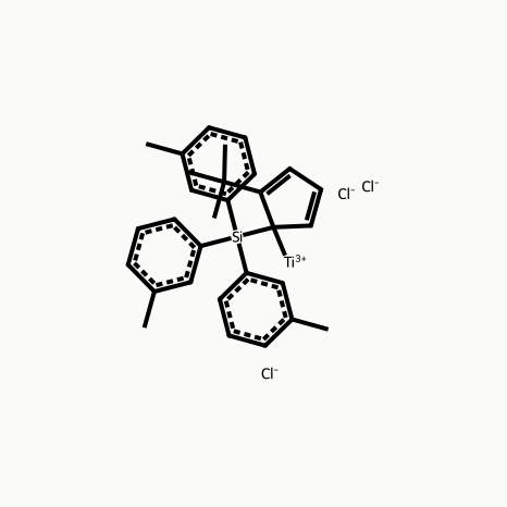 Cc1cccc([Si](c2cccc(C)c2)(c2cccc(C)c2)[C]2([Ti+3])C=CC=C2C(C)(C)C)c1.[Cl-].[Cl-].[Cl-]